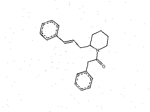 O=C(Cc1ccccc1)N1CCCCC1CC=Cc1ccccc1